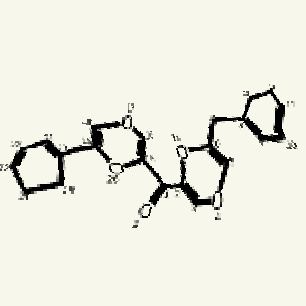 O=C(C1=COC=C(CC2=CC=CCC2)O1)C1=COC=C(C2=CC=CCC2)O1